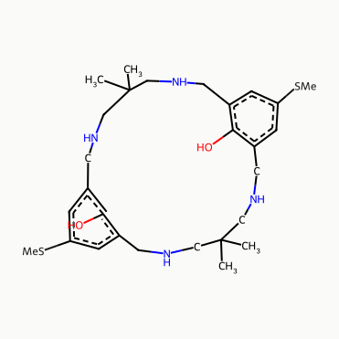 CSc1cc2c(O)c(c1)CNCC(C)(C)CNCc1cc(SC)cc(c1O)CNCC(C)(C)CNC2